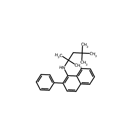 CC(C)(C)CC(C)(C)Nc1c(-c2ccccc2)ccc2ccccc12